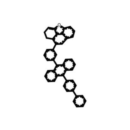 C1=c2oc3cccc4cc(-c5cccc(-c6c7ccccc7c(-c7ccc(-c8ccccc8)cc7)c7ccccc67)c5)c(c2c43)CC1